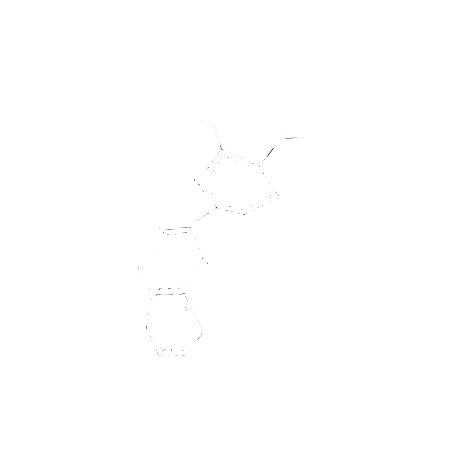 COc1ccc(-c2ncc3ccccc3n2)nc1Br